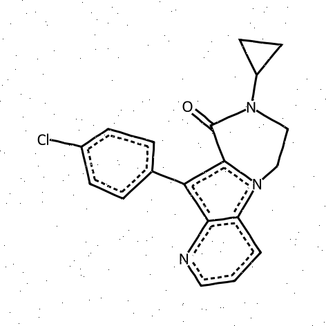 O=C1c2c(-c3ccc(Cl)cc3)c3ncccc3n2CCN1C1CC1